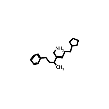 CC(CCc1ccccc1)/C(=C/CCC1CCCC1)CN